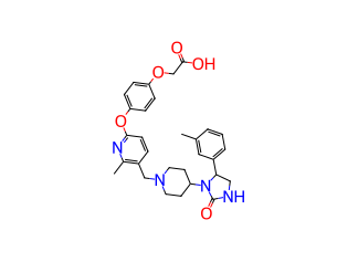 Cc1cccc(C2CNC(=O)N2C2CCN(Cc3ccc(Oc4ccc(OCC(=O)O)cc4)nc3C)CC2)c1